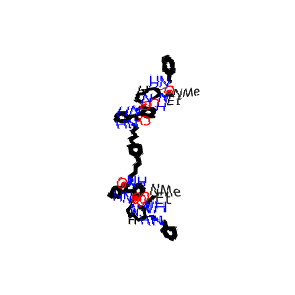 CC[C@H](NC)C(=O)N[C@@H]1C(=O)N2[C@@H](CC[C@@H]1CNCc1ccccc1)CC[C@H]2C(=O)NC(C(=O)NCCCCc1ccc(CCCCNC(=O)C(NC(=O)[C@@H]2CC[C@@H]3CC[C@H](CNCc4ccccc4)[C@H](NC(=O)[C@H](CC)NC)C(=O)N32)(c2ccccc2)c2ccccc2)cc1)(c1ccccc1)c1ccccc1